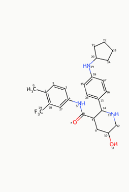 Cc1ccc(NC(=O)C2CC(O)CNC2c2ccc(NC3CCCC3)cc2)cc1C(F)(F)F